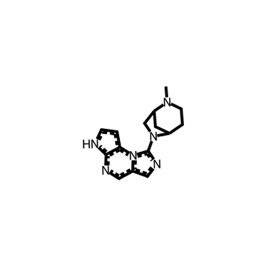 CN1CCC2CC1CN2c1ncc2cnc3[nH]ccc3n12